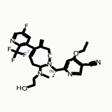 C=C1CCN([C@@H](C)c2cc(OCC)c(C#N)cn2)C(N(C)CCO)C/C=C\1c1cc(F)cnc1C(F)(F)F